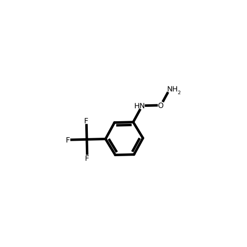 NONc1cccc(C(F)(F)F)c1